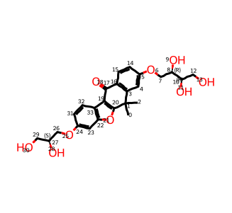 CC1(C)c2cc(OC[C@@H](O)[C@H](O)CO)ccc2C(=O)c2c1oc1cc(OC[C@@H](O)CO)ccc21